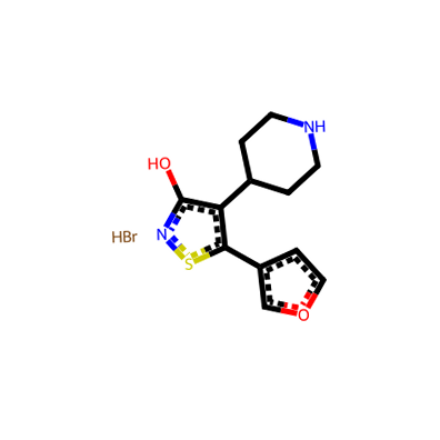 Br.Oc1nsc(-c2ccoc2)c1C1CCNCC1